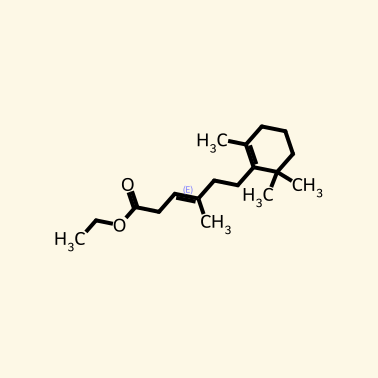 CCOC(=O)C/C=C(\C)CCC1=C(C)CCCC1(C)C